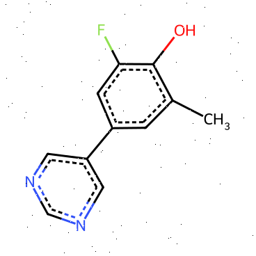 Cc1cc(-c2cncnc2)cc(F)c1O